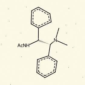 CC(=O)NC(c1ccccc1)[C@@H](c1ccccc1)N(C)C